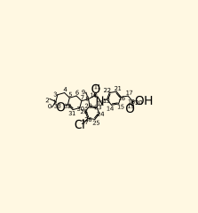 CC1(C)CCC2CC([C@]3(C)C(=O)N(c4ccc(CC(=O)O)cc4)c4ccc(Cl)cc43)CC=C2O1